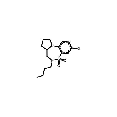 CCCCN1CC2CCCN2c2ccc(Cl)cc2S1(=O)=O